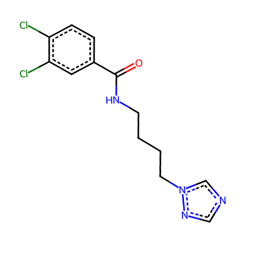 O=C(NCCCCn1cncn1)c1ccc(Cl)c(Cl)c1